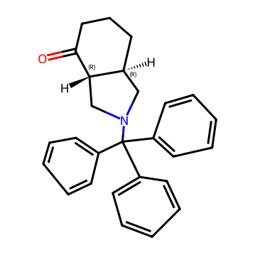 O=C1CCC[C@H]2CN(C(c3ccccc3)(c3ccccc3)c3ccccc3)C[C@H]12